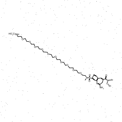 CCCN(OCC)C(=O)C1=Cc2ccc(S(=O)(=O)N(C)CCOCCOCCOCCOCCOCCOCCOCCOCCOCCOCCNC(=O)O)cc2N=C(N)C1